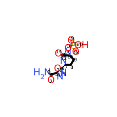 NC(=O)c1nnc([C@@H]2CCC3CN2C(=O)N3OS(=O)(=O)O)o1